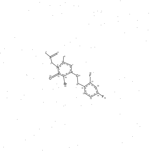 C=C(C)Cn1c(C)cc(OCc2ccc(F)cc2F)c(Br)c1=O